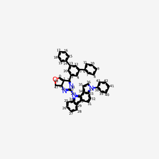 C1=C2C(c3cc(-c4ccccc4)cc(-c4ccccc4)c3)=NC(n3c4ccccc4c4ccc5c(ccn5-c5ccccc5)c43)=NC2CO1